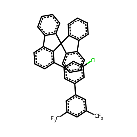 FC(F)(F)c1cc(-c2cc(Cl)cc(-c3cccc4c3C3(c5ccccc5-c5ccccc53)c3ccccc3-4)c2)cc(C(F)(F)F)c1